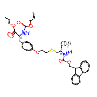 C=CCOC(=O)N[C@@H](Cc1ccc(OCCSC[C@H](NC(=O)OCC2c3ccccc3-c3ccccc32)C(=O)O)cc1)C(=O)OC=CC